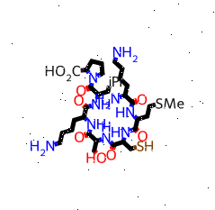 CSCCC(NC(=O)C(N)CCCCN)C(=O)NC(CS)C(=O)NC(CO)C(=O)NC(CCCCN)C(=O)NC(CC(C)C)C(=O)N1CCCC1C(=O)O